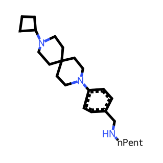 CCCCCNCc1ccc(N2CCC3(CC2)CCN(C2CCC2)CC3)cc1